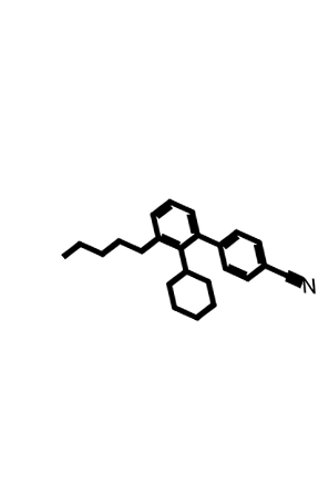 CCCCCc1cccc(-c2ccc(C#N)cc2)c1C1CCCCC1